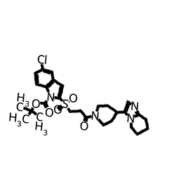 CC(C)(C)OC(=O)n1c(S(=O)(=O)CCC(=O)N2CCC(c3cnc4n3CCCC4)CC2)cc2cc(Cl)ccc21